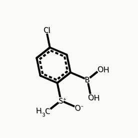 C[S+]([O-])c1ccc(Cl)cc1B(O)O